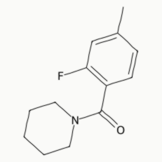 Cc1ccc(C(=O)N2CCCCC2)c(F)c1